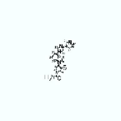 NC(=O)c1ccc(-n2ccc3c(-n4cnc(-c5cccnc5)c4)cccc32)c(F)c1